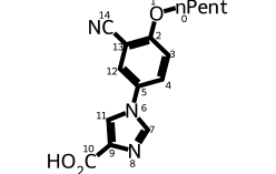 CCCCCOc1ccc(-n2cnc(C(=O)O)c2)cc1C#N